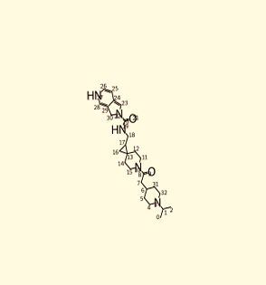 CC(C)N1CCC(CC(=O)N2CCC3(CC2)CC3CNC(=O)N2C=C3C=CNC=C3C2)CC1